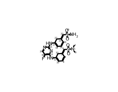 CN(C)S(=O)(=O)C=C1C=CC=C(Nc2nc(NC3=CC=CC(=CS(N)(=O)=O)C3)ncc2F)C1